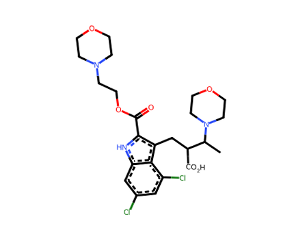 CC(C(Cc1c(C(=O)OCCN2CCOCC2)[nH]c2cc(Cl)cc(Cl)c12)C(=O)O)N1CCOCC1